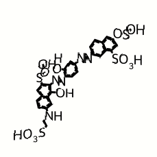 O=S(=O)(O)CCNc1ccc2cc(SOO)c(N=Nc3ccc(N=Nc4ccc5cc(OSO)cc(S(=O)(=O)O)c5c4)cc3O)c(O)c2c1